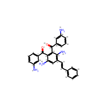 Nc1cccc(C(=O)c2c(N)cc(C=Cc3ccccc3)c(N)c2C(=O)c2cccc(N)c2)c1